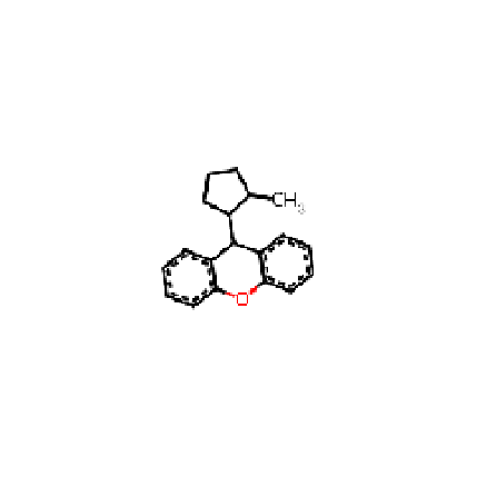 CC1CCCC1C1c2ccccc2Oc2ccccc21